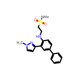 CNS(=O)(=O)CCNc1ccc(-c2ccccc2)cc1-c1ccn(C)n1